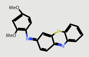 COc1ccc(N=c2ccc3nc4ccccc4sc-3c2)c(OC)c1